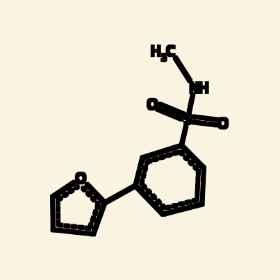 CNS(=O)(=O)c1cccc(-c2ccco2)c1